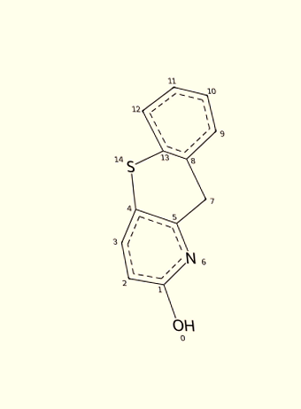 Oc1ccc2c(n1)Cc1ccccc1S2